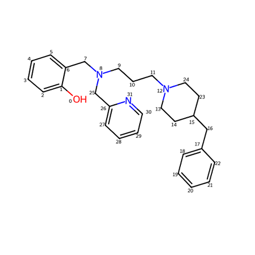 Oc1ccccc1CN(CCCN1CCC(Cc2ccccc2)CC1)Cc1ccccn1